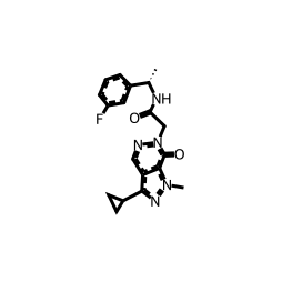 C[C@H](NC(=O)Cn1ncc2c(C3CC3)nn(C)c2c1=O)c1cccc(F)c1